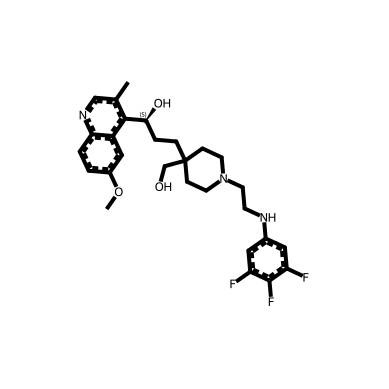 COc1ccc2ncc(C)c([C@@H](O)CCC3(CO)CCN(CCNc4cc(F)c(F)c(F)c4)CC3)c2c1